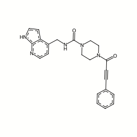 O=C(C#Cc1ccccc1)N1CCN(C(=O)NCc2ccnc3[nH]ccc23)CC1